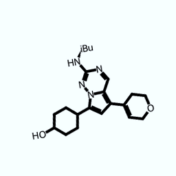 CC[C@H](C)Nc1ncc2c(C3=CCOCC3)cc(C3CCC(O)CC3)n2n1